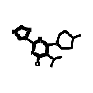 CC1CCN(c2nc(-n3cncn3)nc(Cl)c2C(C)C)CC1